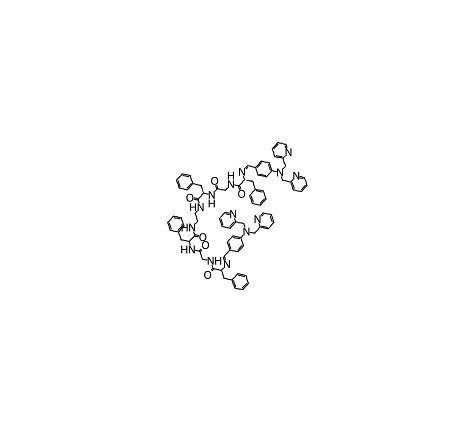 O=C(CNC(=O)C(Cc1ccccc1)/N=C/c1ccc(N(Cc2ccccn2)Cc2ccccn2)cc1)NC(Cc1ccccc1)C(=O)NCCNC(=O)[C@@H](Cc1ccccc1)NC(=O)CNC(=O)[C@H](Cc1ccccc1)/N=C\c1ccc(N(Cc2ccccn2)Cc2ccccn2)cc1